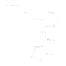 Cc1nn(C)c(F)c1C(=O)Nc1ccccc1C(C)CCCC(C)C